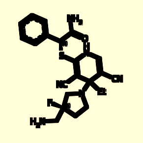 CCC1(N2CC[C@](F)(CN)C2)C(C#N)=CNC(S[C@@H](C(N)=O)c2ccccc2)=C1C#N